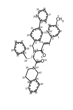 Cc1ccc(C=CC(=O)N(Cc2ccc(-c3ccccn3)cc2)[C@@H](Cc2ccccc2)C(=O)N2CCc3ccccc3C2)nc1